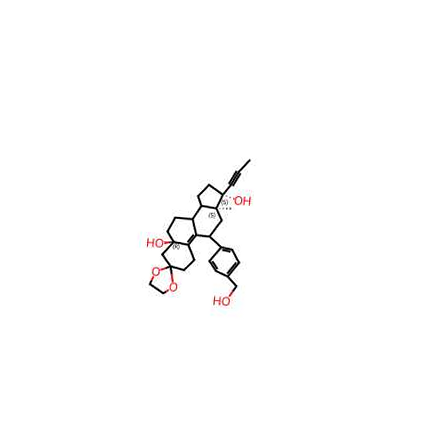 CC#C[C@]1(O)CCC2C3CC[C@@]4(O)CC5(CCC4=C3C(c3ccc(CO)cc3)C[C@@]21C)OCCO5